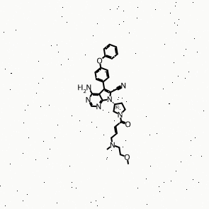 COCCN(C)CC=CC(=O)N1CC[C@@H](n2c(C#N)c(-c3ccc(Oc4ccccc4)cc3)c3c(N)ncnc32)C1